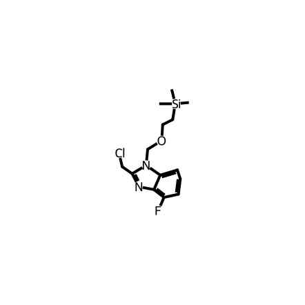 C[Si](C)(C)CCOCn1c(CCl)nc2c(F)cccc21